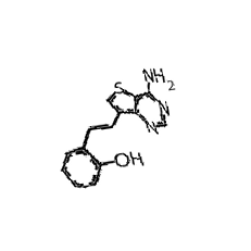 Nc1ncnc2c(C=Cc3ccccc3O)csc12